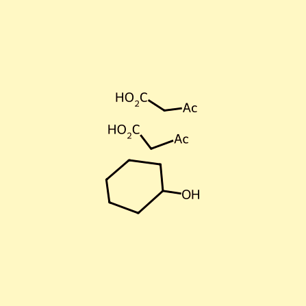 CC(=O)CC(=O)O.CC(=O)CC(=O)O.OC1CCCCC1